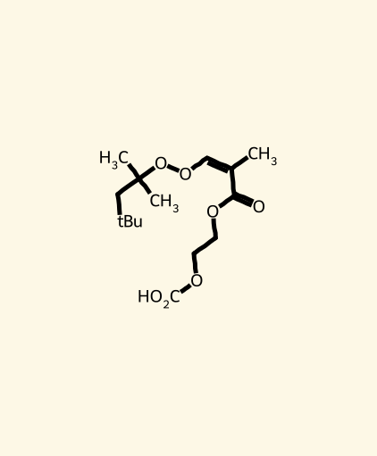 CC(=COOC(C)(C)CC(C)(C)C)C(=O)OCCOC(=O)O